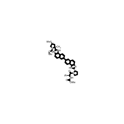 COC(=O)N[C@H](C(=O)N1CCC[C@H]1c1nc2ccc3cc(-c4ccc5c(ccc6nc([C@]7(C)C[C@H](SC)CN7C(=O)OC(C)(C)C)[nH]c65)c4)ccc3c2[nH]1)C(C)C